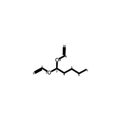 C=COC(CCCC)OC=C